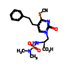 CN(C)S(=O)(=O)N[C@@H](Cn1cc(CCc2ccccc2)c(SC#N)nc1=O)C(=O)O